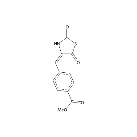 COC(=O)c1ccc(C=C2NC(=O)SC2=O)cc1